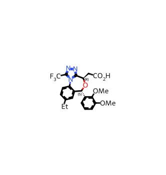 CCc1ccc2c(c1)[C@@H](c1cccc(OC)c1OC)O[C@H](CC(=O)O)c1nnc(C(F)(F)F)n1-2